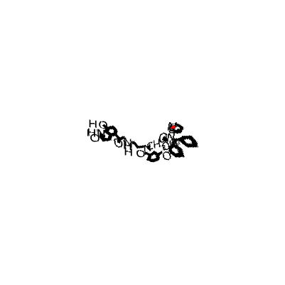 CN(CCCNCC(O)c1ccc(O)c2[nH]c(=O)ccc12)C(=O)c1cccc(COc2cccc([C@H](c3ccccc3)N(C(=O)O)C3CN4CCC3CC4)c2)c1